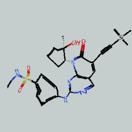 CNS(=O)(=O)c1ccc(Nc2ncc3cc(C#C[Si](C)(C)C)c(=O)n([C@@H]4CCC[C@@]4(C)O)c3n2)cc1